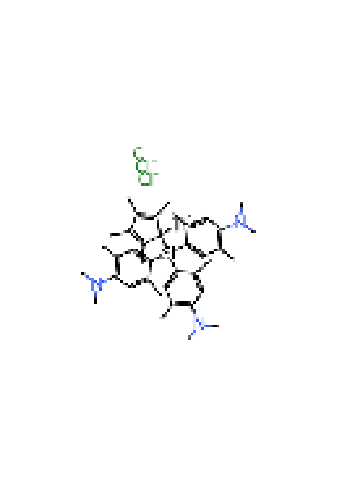 CC1=C(C)[C]([Ti+3])([Si](c2cc(C)c(N(C)C)cc2C)(c2cc(C)c(N(C)C)cc2C)c2cc(C)c(N(C)C)cc2C)C(C)=C1C.[Cl-].[Cl-].[Cl-]